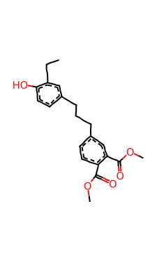 CCc1cc(CCCc2ccc(C(=O)OC)c(C(=O)OC)c2)ccc1O